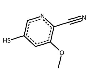 COc1cc(S)cnc1C#N